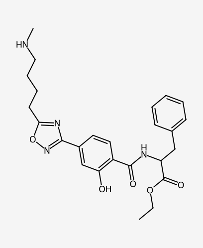 CCOC(=O)C(Cc1ccccc1)NC(=O)c1ccc(-c2noc(CCCCNC)n2)cc1O